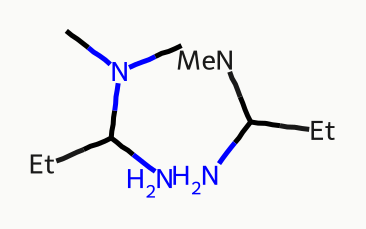 CCC(N)N(C)C.CCC(N)NC